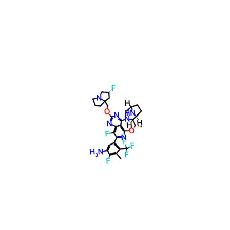 Cc1c(F)c(N)cc(-c2nc3c4c(nc(OCC56CCCN5C[C@H](F)C6)nc4c2F)N2C[C@H]4CC[C@H](N4)[C@H]2[C@H](C)O3)c1C(F)(F)F